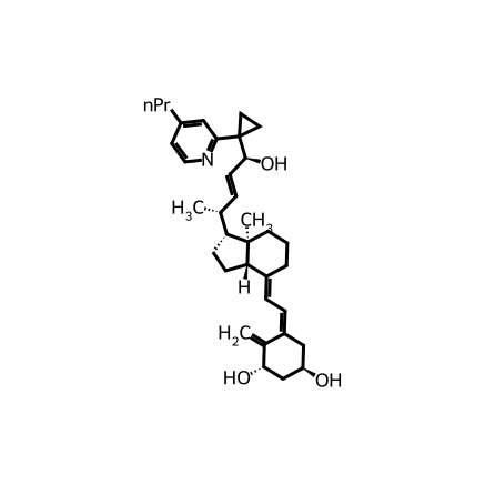 C=C1/C(=C\C=C2/CCC[C@]3(C)[C@@H]([C@H](C)/C=C/[C@H](O)C4(c5cc(CCC)ccn5)CC4)CC[C@@H]23)C[C@@H](O)C[C@@H]1O